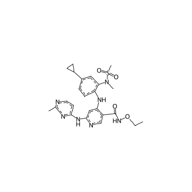 CCONC(=O)c1cnc(Nc2ccnc(C)n2)cc1Nc1ccc(C2CC2)cc1N(C)S(C)(=O)=O